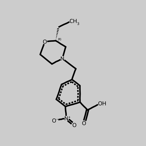 CC[C@@H]1CN(Cc2ccc([N+](=O)[O-])c(C(=O)O)c2)CCO1